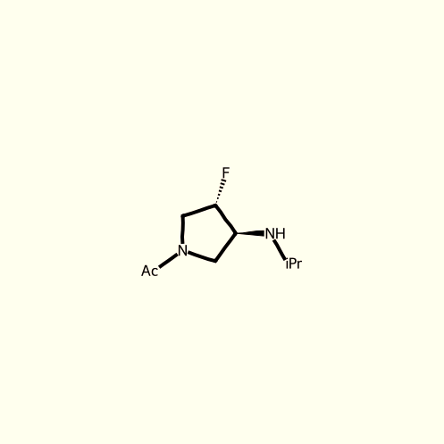 CC(=O)N1C[C@H](NC(C)C)[C@@H](F)C1